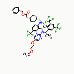 CCN(C[C@H]1CC[C@H](CC(=O)OCc2ccccc2)CC1)c1ccc(C(F)(F)F)cc1CN(c1ncc(OCCOC)cn1)C(C)c1cc(C(F)(F)F)cc(C(F)(F)F)c1